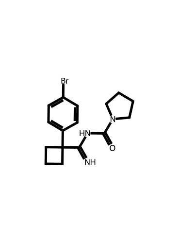 N=C(NC(=O)N1CCCC1)C1(c2ccc(Br)cc2)CCC1